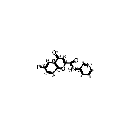 O=C(Nc1cccnc1)c1cc(=O)c2cc(F)ccc2o1